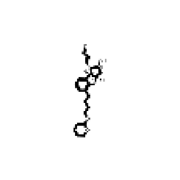 O=CC=C[C@H]1[C@@H]2c3cccc(CCCCOC4CCCCO4)c3O[C@@H]2C[C@@H]1O